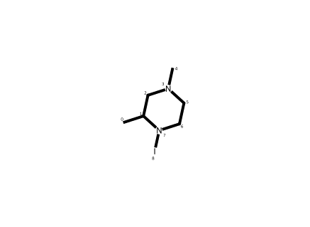 CC1CN(C)CCN1I